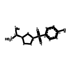 CC(C)(C)N(C(=O)O)[C@@H]1CCN(S(=O)(=O)c2ccc(Cl)cc2)C1